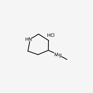 Cl.[CH3][Mg][CH]1CCNCC1